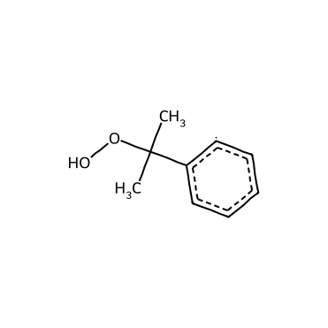 CC(C)(OO)c1[c]cccc1